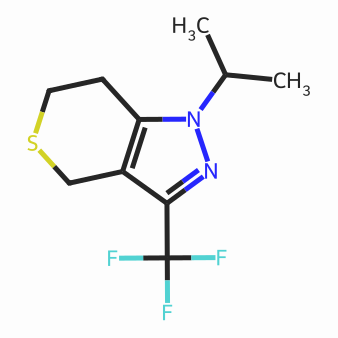 CC(C)n1nc(C(F)(F)F)c2c1CCSC2